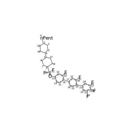 CCCCCC1CCC(C2CCC(C(F)(F)Oc3ccc(-c4ccc(-c5cc(F)c(F)c(F)c5)c(F)c4)c(F)c3)CC2)CC1